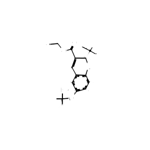 O=C(OCI)C1=Cc2cc(OC(F)(F)F)ccc2O[C@@H]1C(F)(F)F